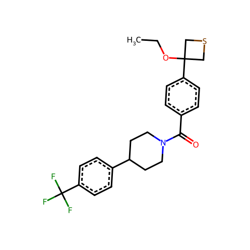 CCOC1(c2ccc(C(=O)N3CCC(c4ccc(C(F)(F)F)cc4)CC3)cc2)CSC1